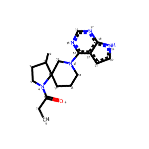 CC1CCN(C(=O)CC#N)C12CCCN(c1ncnc3[nH]ccc13)C2